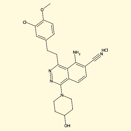 COc1ccc(CCc2nnc(N3CCC(O)CC3)c3ccc(C#N)c(N)c23)cc1Cl.Cl